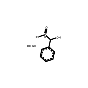 O=[PH](O)C(O)c1ccccc1.[KH].[KH]